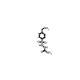 NCc1ccc(S(=O)(=O)NNC(N)=O)cc1